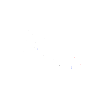 Cn1c(=O)oc2ccc(-c3ccc(CC(C#N)NC(=O)OC(C)(C)C)s3)cc21